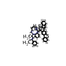 C=C/C(=C\C(=C)C1=c2\cccc\c2=C(C(=C)c2cc3c(cc2C2=Cc4ccccc4C2(C)C)sc2ccccc23)\C=C\CC\C=C\1)c1ccccc1